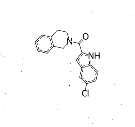 O=C(c1cc2cc(Cl)ccc2[nH]1)N1CCc2ccccc2C1